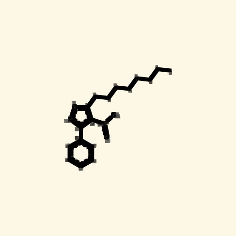 CCCCCCCCc1onc(-c2ccccc2)c1[N+](=O)[O-]